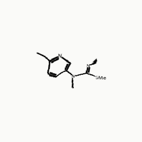 CN=C(SC)N(C)c1ccc(C)nc1